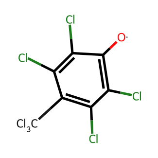 [O]c1c(Cl)c(Cl)c(C(Cl)(Cl)Cl)c(Cl)c1Cl